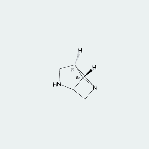 C1NC2CN3[C@H]1[C@@H]23